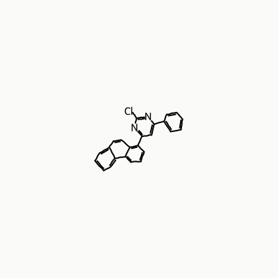 Clc1nc(-c2ccccc2)cc(-c2cccc3c2ccc2ccccc23)n1